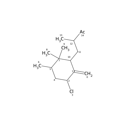 C=C1C(Cl)CC(C)C(C)(C)C1CC(C)C(C)=O